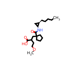 CCCCC[C@@H]1C[C@H]1NC(=O)C1(CC(CCOC)C(=O)O)CCCC1